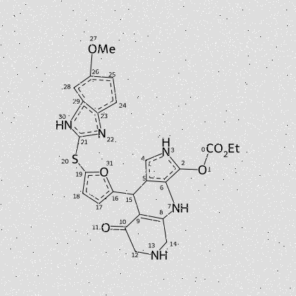 CCOC(=O)Oc1[nH]cc2c1NC1=C(C(=O)CNC1)C2c1ccc(Sc2nc3ccc(OC)cc3[nH]2)o1